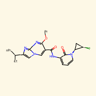 CCCC(CC)c1cn2cc(C(=O)Nc3cccn([C@H]4C[C@H]4F)c3=O)c(OC(C)C)nc2n1